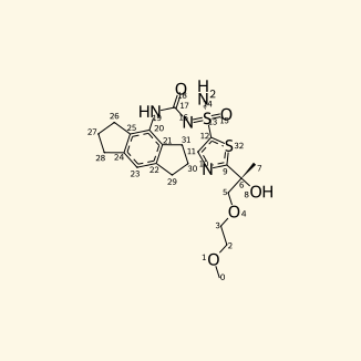 COCCOC[C@@](C)(O)c1ncc([S@](N)(=O)=NC(=O)Nc2c3c(cc4c2CCC4)CCC3)s1